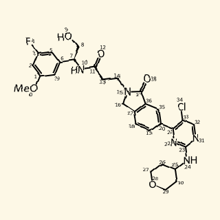 COc1cc(F)cc([C@@H](CO)NC(=O)CCN2Cc3ccc(-c4nc(NC5CCOCC5)ncc4Cl)cc3C2=O)c1